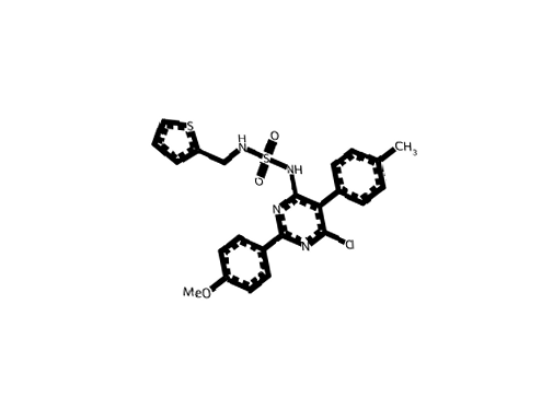 COc1ccc(-c2nc(Cl)c(-c3ccc(C)cc3)c(NS(=O)(=O)NCc3cccs3)n2)cc1